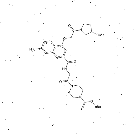 CCCCOC(=O)N1CCN(C(=O)CNC(=O)c2cc(OCC(=O)N3CCC(OC)C3)c3ccc(C)cc3n2)CC1